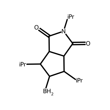 BC1C(C(C)C)C2C(=O)N(C(C)C)C(=O)C2C1C(C)C